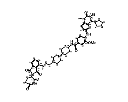 CC[C@@H]1C(=O)N(C)c2cnc(Nc3ccc(C(=O)NC4CCC(N5CCN(CCNc6cccc7c6C(=O)N(C6CCC(=O)NC6=O)C7=O)CC5)CC4)cc3OC)nc2N1C1CCCC1